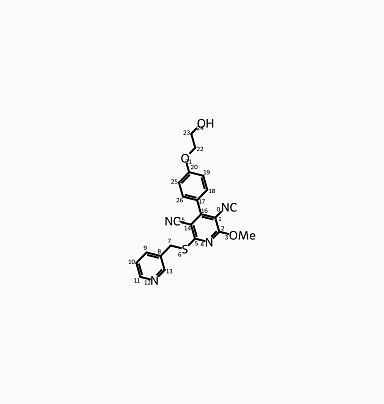 [C-]#[N+]c1c(OC)nc(SCc2cccnc2)c(C#N)c1-c1ccc(OCCO)cc1